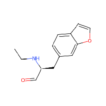 CCN[C@H](C=O)Cc1ccc2ccoc2c1